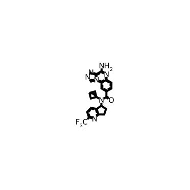 Nc1nc2ccc(C(=O)N(C3CCc4nc(C(F)(F)F)ccc43)C34CC(C3)C4)cc2n2cnnc12